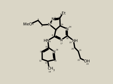 CCC1=NN(CCOC)C2C(NC3=CCC(C)C=N3)=NC(NCCCO)=NC12